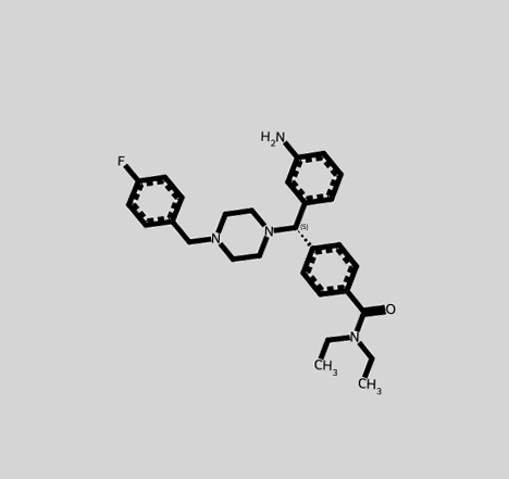 CCN(CC)C(=O)c1ccc([C@@H](c2cccc(N)c2)N2CCN(Cc3ccc(F)cc3)CC2)cc1